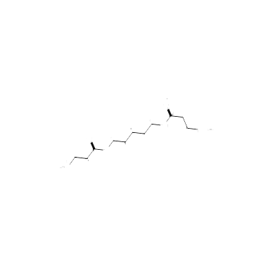 CCCCCCCCCCCCC(=O)SCCCCCSC(=O)CCCCCCCCCCCC